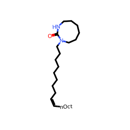 CCCCCCCC/C=C\CCCCCCCCN1CCCCCCNC1=O